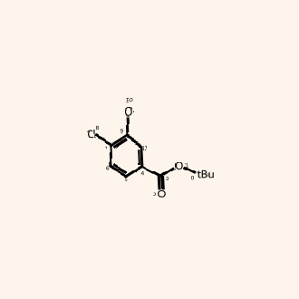 CC(C)(C)OC(=O)c1ccc(Cl)c([O])c1